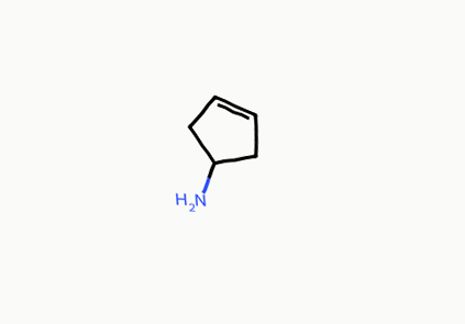 NC1CC=CC1